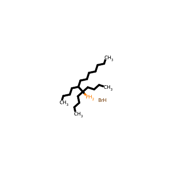 Br.CCCCCCCC(CCCC)C(P)(CCCC)CCCC